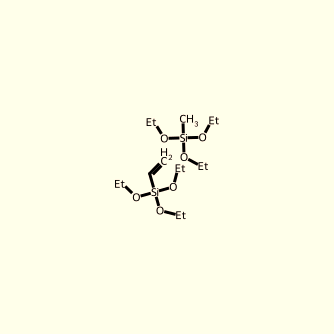 C=C[Si](OCC)(OCC)OCC.CCO[Si](C)(OCC)OCC